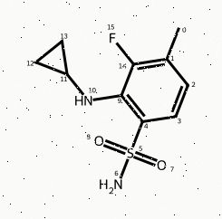 Cc1ccc(S(N)(=O)=O)c(NC2CC2)c1F